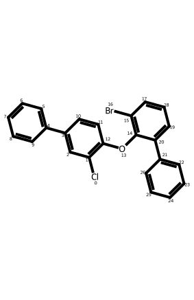 Clc1cc(-c2ccccc2)ccc1Oc1c(Br)cccc1-c1ccccc1